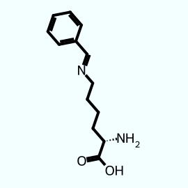 N[C@@H](CCCCN=Cc1ccccc1)C(=O)O